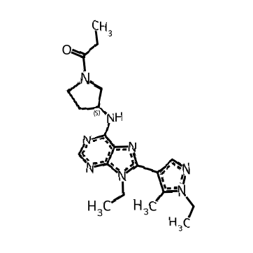 CCC(=O)N1CC[C@H](Nc2ncnc3c2nc(-c2cnn(CC)c2C)n3CC)C1